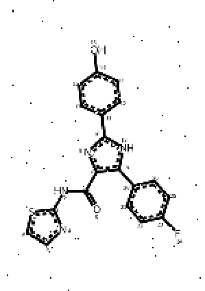 O=C(Nc1nccs1)c1nc(-c2ccc(O)cc2)[nH]c1-c1ccc(F)cc1